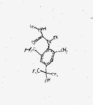 CCNC(=O)N(CC)c1c(C)cc(C(O)(C(F)(F)F)C(F)(F)F)cc1C